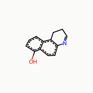 Oc1cccc2c3c(ccc12)N=CCC3